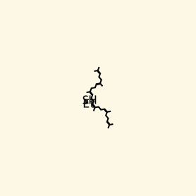 CC(C)=CCCC(C)=CCCC(C)=CCCC=C(C)CCC=C(C)CCC=C(C)C.CCS